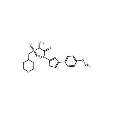 C=C(C(=O)Nc1nc(-c2ccc(OC)cc2)cs1)S(=C)(=O)CC1CCOCC1